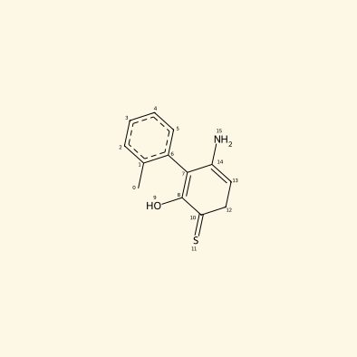 Cc1ccccc1C1=C(O)C(=S)CC=C1N